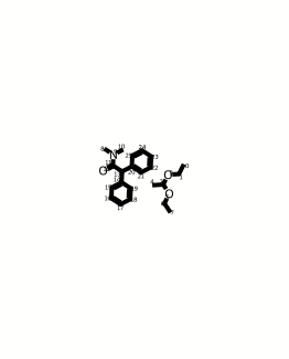 CCOC(C)OCC.CN(C)C(=O)C(c1ccccc1)c1ccccc1